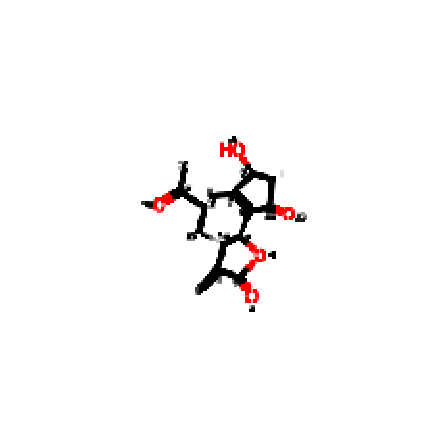 C=C1C(=O)O[C@H](C2=C(C)[C@@H](O)CC2=O)[C@H]1CCC(C)=O